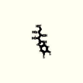 OC[C@@H](O)C(O)C(O)c1nc2cc(F)c(F)cc2[nH]1